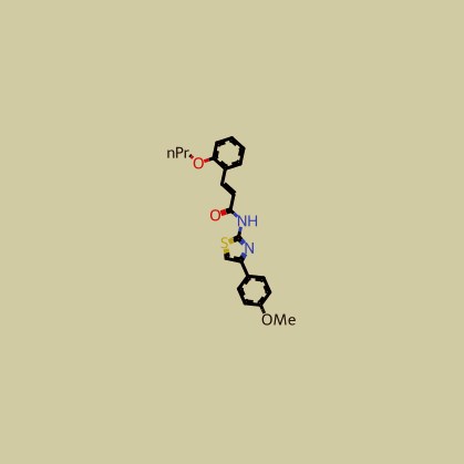 CCCOc1ccccc1C=CC(=O)Nc1nc(-c2ccc(OC)cc2)cs1